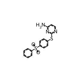 Nc1ccnc(Sc2ccc(S(=O)(=O)c3ccccc3)cc2)n1